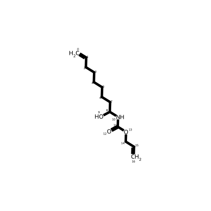 C=CCCCCCCC(O)NC(=O)OCC=C